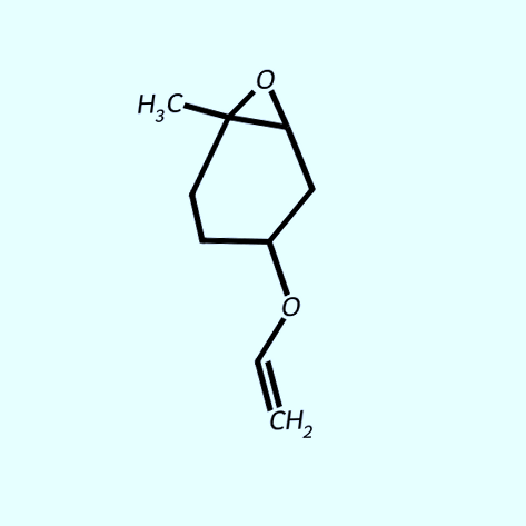 C=COC1CCC2(C)OC2C1